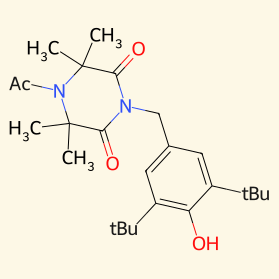 CC(=O)N1C(C)(C)C(=O)N(Cc2cc(C(C)(C)C)c(O)c(C(C)(C)C)c2)C(=O)C1(C)C